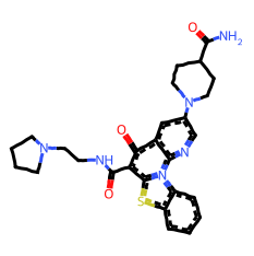 NC(=O)C1CCN(c2cnc3c(c2)c(=O)c(C(=O)NCCN2CCCC2)c2sc4ccccc4n23)CC1